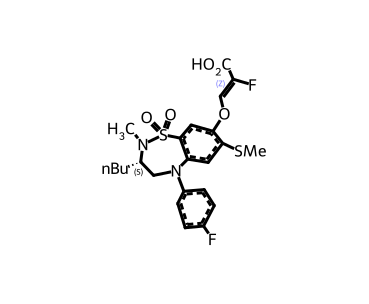 CCCC[C@H]1CN(c2ccc(F)cc2)c2cc(SC)c(O/C=C(\F)C(=O)O)cc2S(=O)(=O)N1C